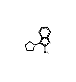 Nc1nc2cccnc2n1N1CCCC1